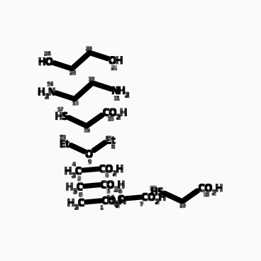 CC(=O)O.CC(=O)O.CC(=O)O.CC(=O)O.CCOCC.NCCN.O=C(O)CS.O=C(O)CS.OCCO